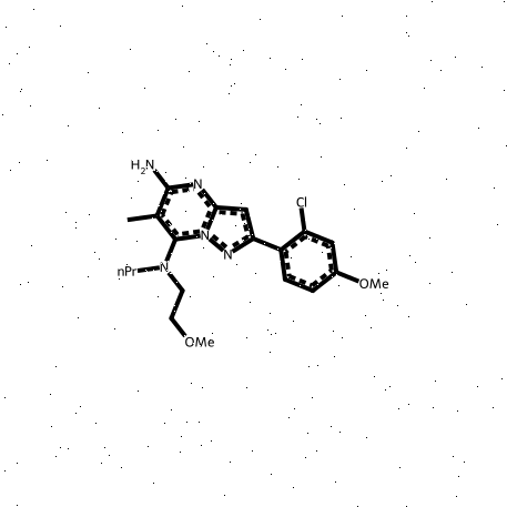 CCCN(CCOC)c1c(C)c(N)nc2cc(-c3ccc(OC)cc3Cl)nn12